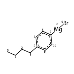 CCCCc1cc[c]([Mg][Br])cc1